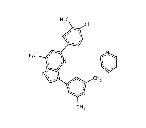 Cc1cc(-c2cnn3c(C(F)(F)F)cc(-c4ccc(Cl)c(C)c4)nc23)cc(C)n1.c1ccncc1